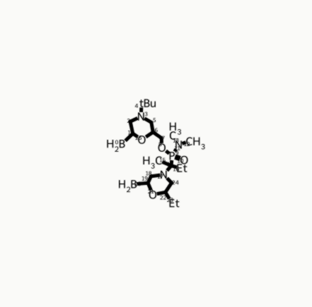 BC1CN(C(C)(C)C)CC(COP(=O)(N(C)C)C(C)(CC)N2CC(B)OC(CC)C2)O1